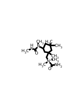 CNC(=O)N(C)C1CC(C)(C)CC(C)(C[N+](C)(C)C(N)=O)C1